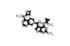 Cc1nc(NC2(C)CC2)c2c(C(=O)N3CCc4c(ncnc4N(C)C4CCO4)C3)coc2n1